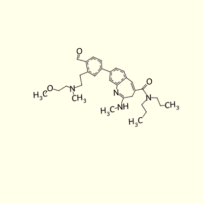 CCCN(CCC)C(=O)C1=Cc2ccc(-c3ccc(C=O)c(CCN(C)CCOC)c3)cc2N=C(NC)C1